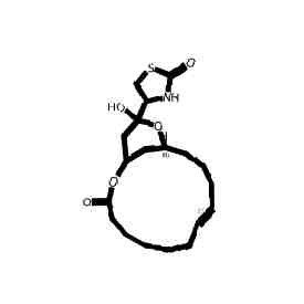 O=C1CCCCC/C=C/CCC[C@@H]2CC(CC(O)(C3CSC(=O)N3)O2)O1